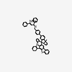 CN/C(=C\C(=N/Cc1ccc(-c2ccc3c(c2)C2(c4ccccc4-n4c5c(c6c7sc8ccccc8c7cc2c64)CCC=C5)C2C=CC=CC32C)cc1)c1ccccc1)c1ccccc1